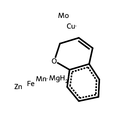 C1=Cc2ccccc2OC1.[Cu].[Fe].[MgH2].[Mn].[Mo].[Zn]